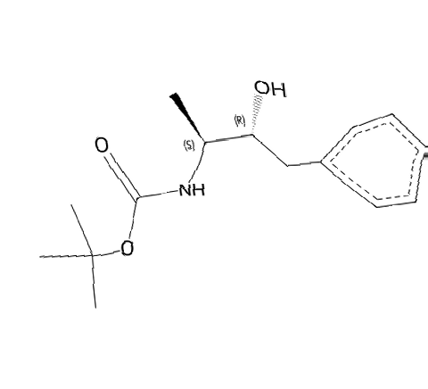 C[C@H](NC(=O)OC(C)(C)C)[C@H](O)Cc1ccccc1